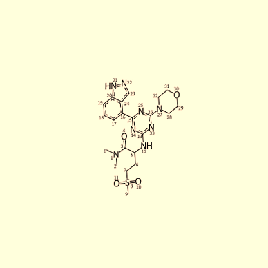 CN(C)C(=O)C(CCS(C)(=O)=O)Nc1nc(-c2cccc3[nH]ncc23)nc(N2CCOCC2)n1